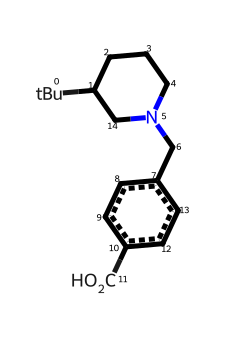 CC(C)(C)C1CCCN(Cc2ccc(C(=O)O)cc2)C1